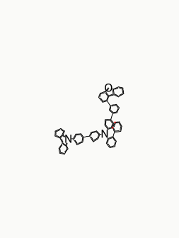 c1ccc(-c2ccccc2N(c2ccc(-c3ccc(-n4c5ccccc5c5ccccc54)cc3)cc2)c2ccc(-c3cccc(-c4cccc5oc6ccccc6c45)c3)cc2)cc1